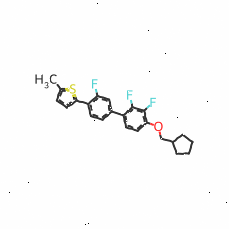 Cc1ccc(-c2ccc(-c3ccc(OCC4CCCC4)c(F)c3F)cc2F)s1